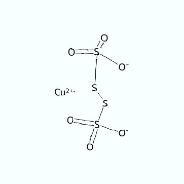 O=S(=O)([O-])SSS(=O)(=O)[O-].[Cu+2]